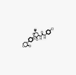 O=C(Nc1ccc(Cl)cc1)N[C@H](C[SH](=O)=O)C(=O)Nc1ccc(N2CCOCC2=O)cc1